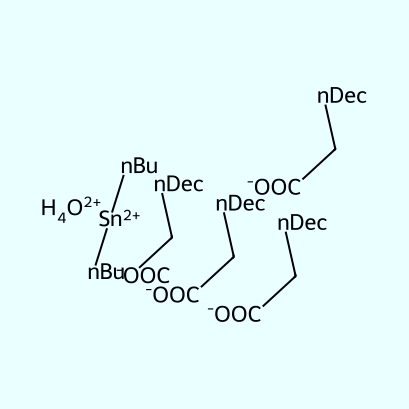 CCCCCCCCCCCC(=O)[O-].CCCCCCCCCCCC(=O)[O-].CCCCCCCCCCCC(=O)[O-].CCCCCCCCCCCC(=O)[O-].CCC[CH2][Sn+2][CH2]CCC.[OH4+2]